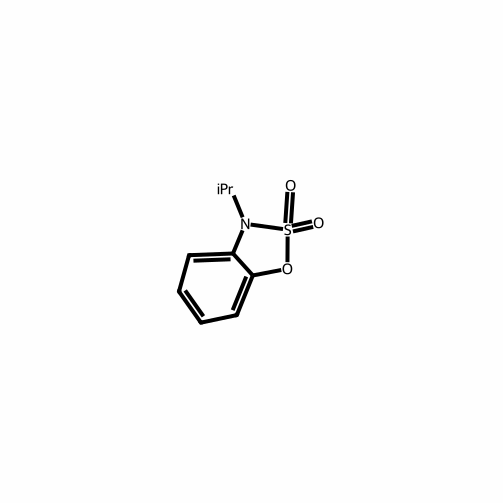 CC(C)N1c2ccccc2OS1(=O)=O